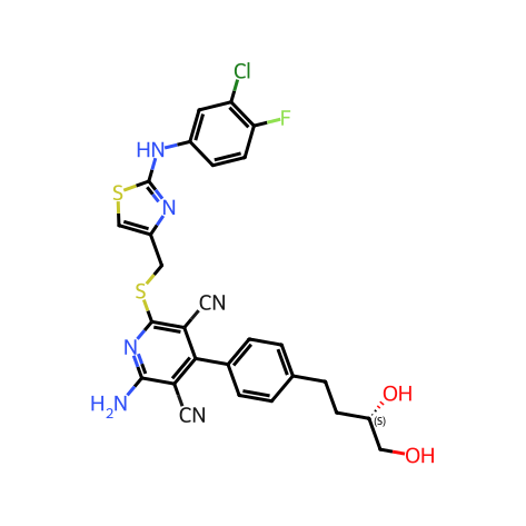 N#Cc1c(N)nc(SCc2csc(Nc3ccc(F)c(Cl)c3)n2)c(C#N)c1-c1ccc(CC[C@H](O)CO)cc1